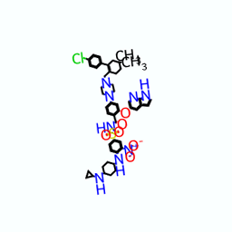 CC1(C)CCC(CN2CCN(c3ccc(C(=O)NS(=O)(=O)c4ccc(N[C@H]5CC[C@@H](NC6CC6)CC5)c([N+](=O)[O-])c4)c(Oc4cnc5[nH]ccc5c4)c3)CC2)=C(c2ccc(Cl)cc2)C1